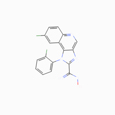 N=C(NO)c1nc2cnc3ccc(Cl)cc3c2n1-c1ccccc1Cl